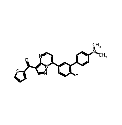 CN(C)c1ccc(-c2cc(-c3ccnc4c(C(=O)c5cccs5)cnn34)ccc2F)cc1